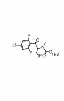 CC(C)C[C@@H](C(=O)c1c(F)cc(Cl)cc1F)N(C)C(=O)OC(C)(C)C